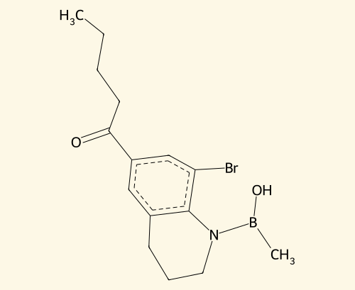 CCCCC(=O)c1cc(Br)c2c(c1)CCCN2B(C)O